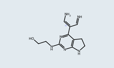 N=C/C(=C\N)c1nc(NCCO)nc2c1CCN2